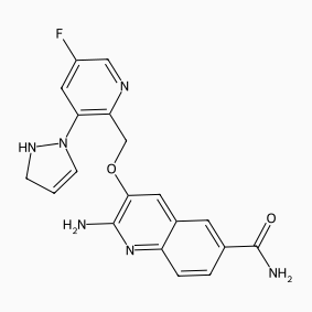 NC(=O)c1ccc2nc(N)c(OCc3ncc(F)cc3N3C=CCN3)cc2c1